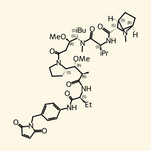 CC[C@H](NC(=O)[C@H](C)[C@@H](OC)[C@@H]1CCCN1C(=O)C[C@@H](OC)[C@H]([C@@H](C)CC)N(C)C(=O)[C@@H](NC(=O)[C@@H]1[C@H]2CC[C@H](C2)N1C)C(C)C)C(=O)Nc1ccc(CN2C(=O)C=CC2=O)cc1